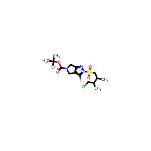 CC(CCl)C(C)CS(=O)(=O)n1nc2c(c1I)CN(C(=O)OC(C)(C)C)C2